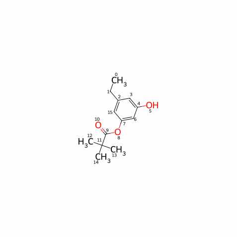 CCc1cc(O)cc(OC(=O)C(C)(C)C)c1